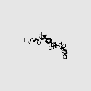 CCCC(=O)NCC1(c2ccc(N3CC(CNC(=O)c4ccc(Cl)s4)OC3=O)cc2)CC1